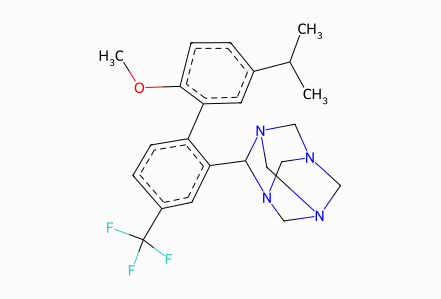 COc1ccc(C(C)C)cc1-c1ccc(C(F)(F)F)cc1C1N2CN3CN(C2)CN1C3